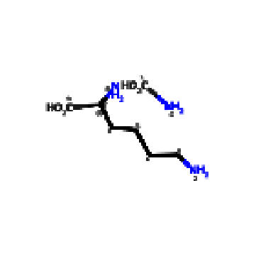 NC(=O)O.NCCCC[C@H](N)C(=O)O